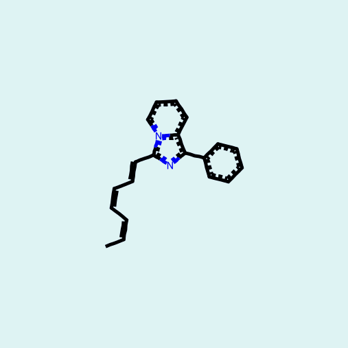 C\C=C/C=C\C=C\c1nc(-c2ccccc2)c2ccccn12